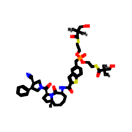 CC(C)(CO)C(=O)SCCOP(=O)(Cc1ccc2sc(C(=O)N[C@H]3CCCC[C@H]4CC[C@@H](C(=O)N5C[C@H](c6ccccc6)[C@@H](C#N)C5)N4C3=O)cc2c1)OCCSC(=O)C(C)(C)CO